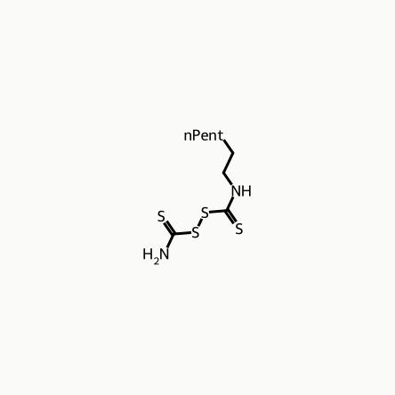 CCCCCCCNC(=S)SSC(N)=S